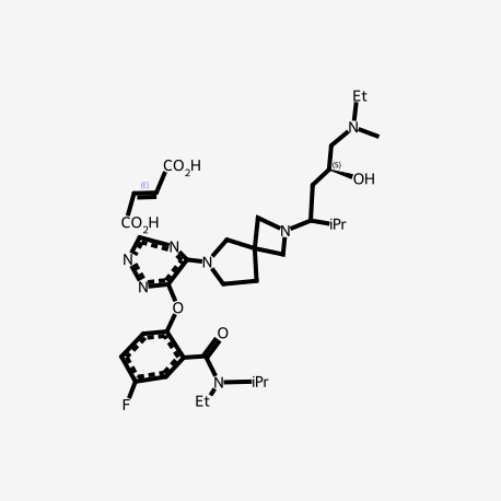 CCN(C)C[C@@H](O)CC(C(C)C)N1CC2(CCN(c3ncnnc3Oc3ccc(F)cc3C(=O)N(CC)C(C)C)C2)C1.O=C(O)/C=C/C(=O)O